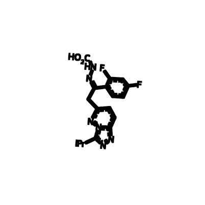 CC(C)c1nnc2ccc(C/C(=N/NC(=O)O)c3ccc(F)cc3F)nn12